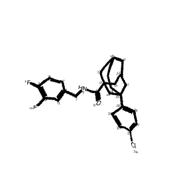 O=C(NCc1ccc(F)c(F)c1)C12CC3CC(C1)CC(c1ccc(Cl)cc1)(C3)C2